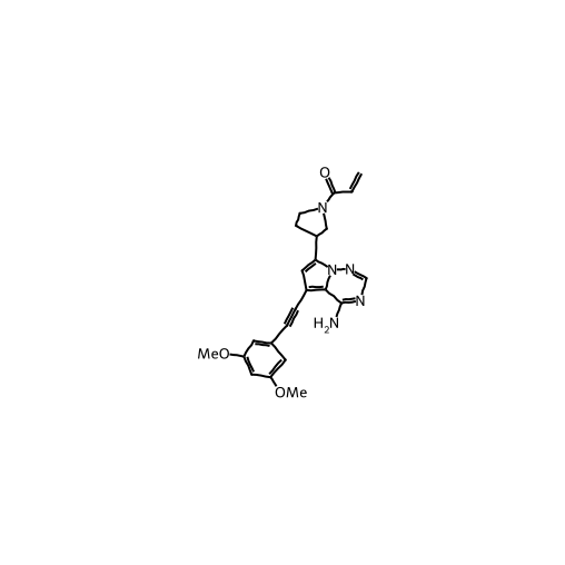 C=CC(=O)N1CCC(c2cc(C#Cc3cc(OC)cc(OC)c3)c3c(N)ncnn23)C1